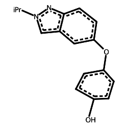 CC(C)n1cc2cc(Oc3ccc(O)cc3)ccc2n1